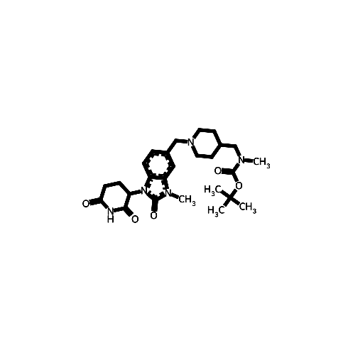 CN(CC1CCN(Cc2ccc3c(c2)n(C)c(=O)n3C2CCC(=O)NC2=O)CC1)C(=O)OC(C)(C)C